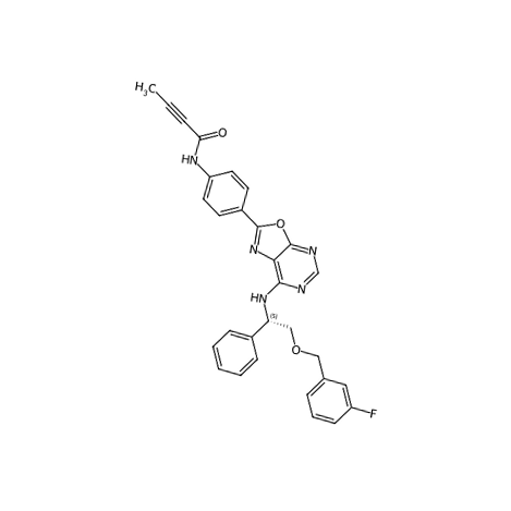 CC#CC(=O)Nc1ccc(-c2nc3c(N[C@H](COCc4cccc(F)c4)c4ccccc4)ncnc3o2)cc1